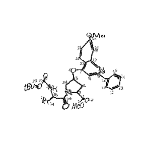 COC(=O)C1CC(Oc2cc(-c3ccccc3)nc3cc(OC)ccc23)CN1C(=O)C(NC(=O)OC(C)(C)C)C(C)C